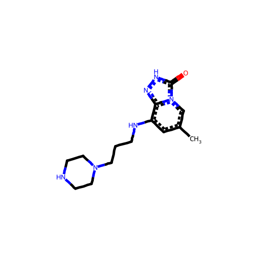 Cc1cc(NCCCN2CCNCC2)c2n[nH]c(=O)n2c1